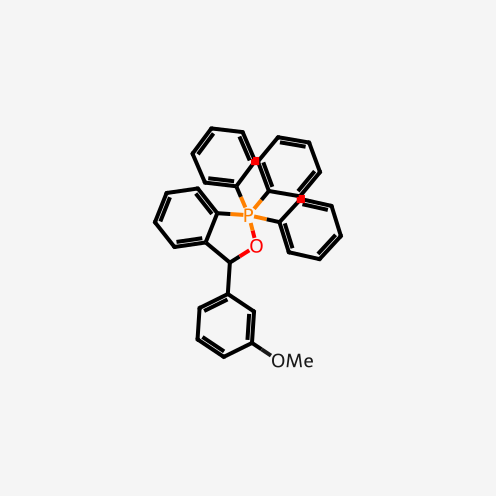 COc1cccc(C2OP(c3ccccc3)(c3ccccc3)(c3ccccc3)c3ccccc32)c1